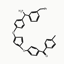 Cc1ccc(C(=O)c2ccc(Oc3ccc(Oc4ccc(C(P)c5cccc(CC(C)C)c5)cc4)cc3)cc2)cc1